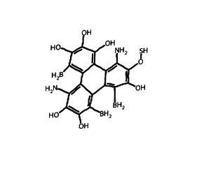 Bc1c(O)c(O)c(N)c2c1c1c(B)c(O)c(OS)c(N)c1c1c(O)c(O)c(O)c(B)c21